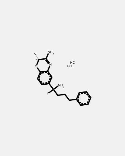 C[C@H]1Oc2ccc(C(N)(F)CCCc3ccccc3)cc2N=C1N.Cl.Cl